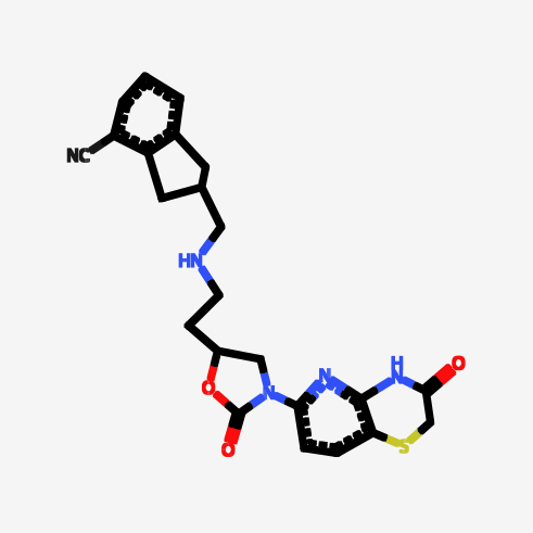 N#Cc1cccc2c1CC(CNCCC1CN(c3ccc4c(n3)NC(=O)CS4)C(=O)O1)C2